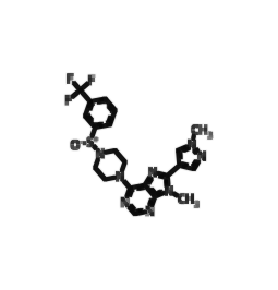 Cn1cc(-c2nc3c(N4CCN([S@+]([O-])c5cccc(C(F)(F)F)c5)CC4)ncnc3n2C)cn1